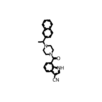 CC(c1ccc2ccccc2c1)N1CCN(C(=O)c2cccc3c(C#N)c[nH]c23)CC1